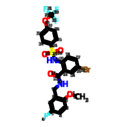 COc1ccc(F)cc1CNC(=O)c1cc(Br)ccc1NS(=O)(=O)c1ccc(OC(F)(F)F)cc1